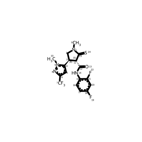 CN1C[C@H](c2cc(C(F)(F)F)nn2C)[C@@H](C(=O)Nc2ccc(F)cc2F)C1=S